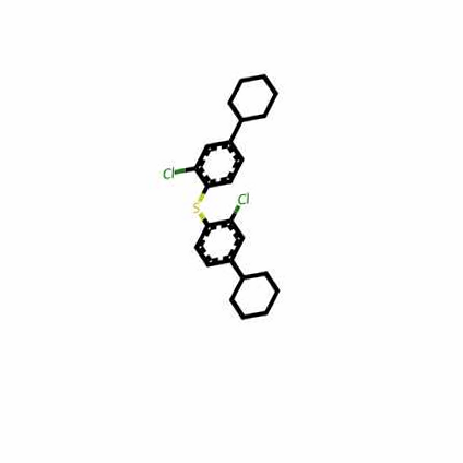 Clc1cc(C2CCCCC2)ccc1Sc1ccc(C2CCCCC2)cc1Cl